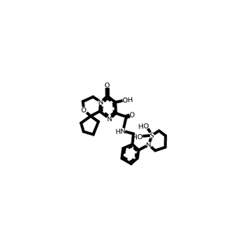 O=C(NCc1ccccc1N1CCCCS1(O)O)c1nc2n(c(=O)c1O)CCOC21CCCC1